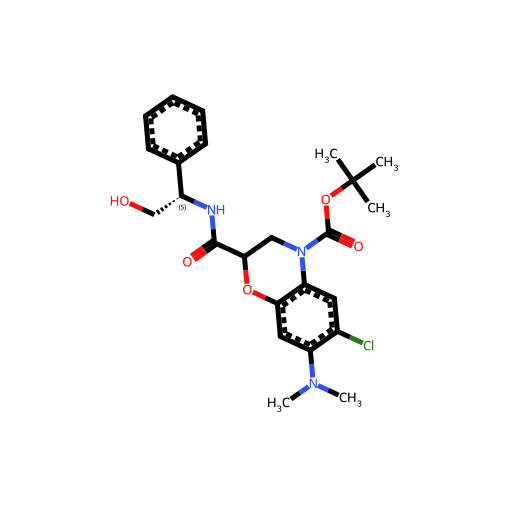 CN(C)c1cc2c(cc1Cl)N(C(=O)OC(C)(C)C)CC(C(=O)N[C@H](CO)c1ccccc1)O2